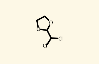 ClC(Cl)C1OCCO1